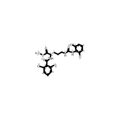 COC(=O)[C@H](CCCNC(=O)Nc1c(Cl)cccc1Cl)NC(=O)c1c(Cl)cccc1Cl